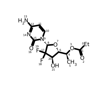 CCC(=O)O[C@@H](C)[C@H]1O[C@@H](n2ccc(N)nc2=O)C(F)(F)[C@@H]1O